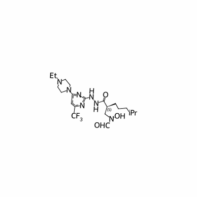 CCN1CCN(c2cc(C(F)(F)F)nc(NNC(=O)[C@@H](CCCC(C)C)CN(O)C=O)n2)CC1